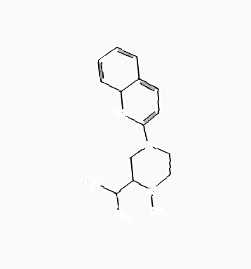 CC(C)C1CN(C2=CC=C3C=CC=CC3N2)CCN1N